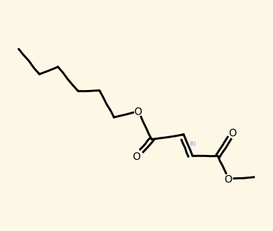 CCCCCCOC(=O)/C=C/C(=O)OC